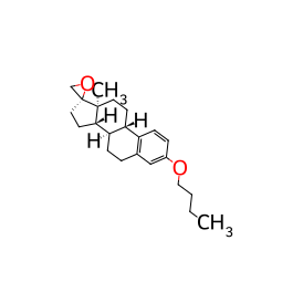 CCCCOc1ccc2c(c1)CC[C@@H]1[C@@H]2CC[C@@]2(C)[C@H]1CC[C@@]21CO1